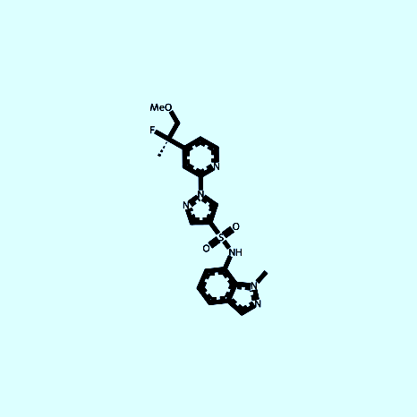 COC[C@](C)(F)c1ccnc(-n2cc(S(=O)(=O)Nc3cccc4cnn(C)c34)cn2)c1